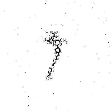 C[C@@H](OCc1ccc(CCCOCCOCCOCCO)cc1)[C@H](CCC(N)=O)NC(=O)OC(C)(C)C